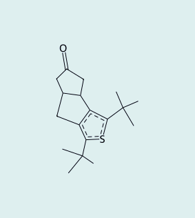 CC(C)(C)c1sc(C(C)(C)C)c2c1CC1CC(=O)CC21